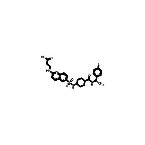 C[C@@H](NC(=O)C1CCC(NS(=O)(=O)c2ccc3nc(NCCC(=O)O)ccc3c2)CC1)c1ccc(F)cc1